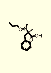 CCCON(C)[C@@](C)(Cc1ccccc1)C(=O)O